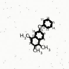 CC1=CC(C)C(C)c2ccc(Oc3ccccc3)cc21